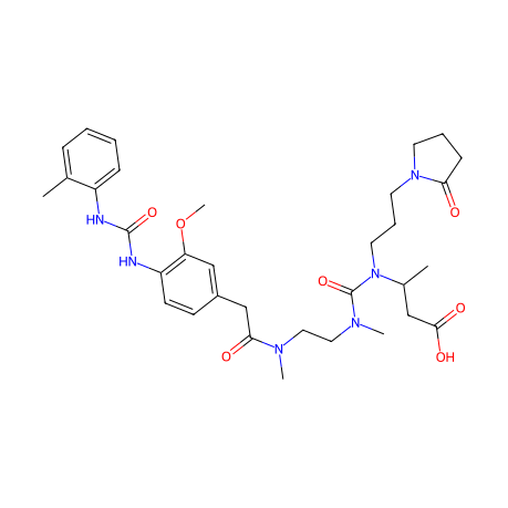 COc1cc(CC(=O)N(C)CCN(C)C(=O)N(CCCN2CCCC2=O)C(C)CC(=O)O)ccc1NC(=O)Nc1ccccc1C